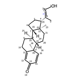 C/C(=N\O)[C@H]1CC[C@H]2[C@@H]3CCC4=CC(=O)C=C[C@]4(C)[C@H]3CC[C@]12C